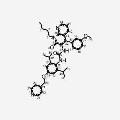 CCCCn1c(=O)c(NC(=O)Nc2c(C(C)C)cc(OCc3ccncc3)cc2C(C)C)c(-c2cccc(OC)c2)c2cccnc21